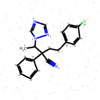 CC(n1cncn1)C(C#N)(CCc1ccc(Cl)cc1)c1ccccc1